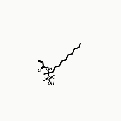 C=CC(=O)NC(C)(CCCCCCCCCC)S(=O)(=O)O